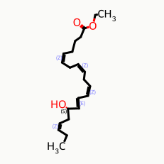 CC/C=C\C[C@H](O)/C=C/C=C\C/C=C\C/C=C\CCCC(=O)OCC